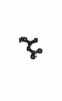 O=[N+]([O-])O[Si](=O)O